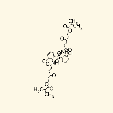 C=C(C)C(=O)OCCC(=O)/C=C/C(=O)Nc1c(Cl)cccc1S(=O)(=O)c1cccc(Cl)c1NC(=O)/C=C/C(=O)CCOC(=O)C(=C)C